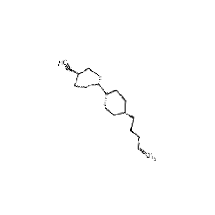 C#C[C@H]1CC[C@H]([C@H]2CC[C@H](CCCC=C)CC2)CC1